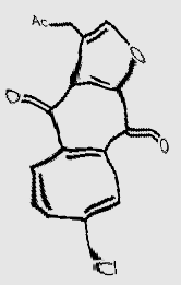 CC(=O)c1coc2c1C(=O)c1ccc(Cl)cc1C2=O